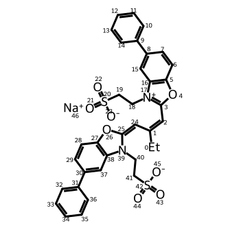 CCC(=Cc1oc2ccc(-c3ccccc3)cc2[n+]1CCS(=O)(=O)[O-])C=C1Oc2ccc(-c3ccccc3)cc2N1CCS(=O)(=O)[O-].[Na+]